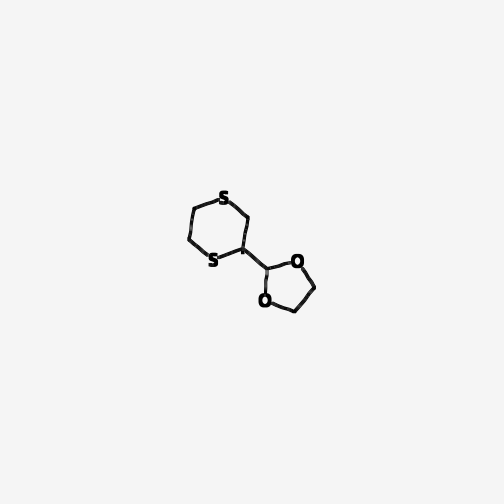 C1COC([C]2CSCCS2)O1